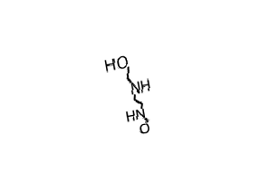 O=CNCCNCCO